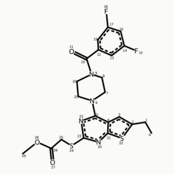 CCc1cc2c(N3CCN(C(=O)c4cc(F)cc(F)c4)CC3)nc(SCC(=O)OC)nc2s1